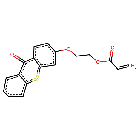 C=CC(=O)OCCOc1ccc2c(=O)c3ccccc3sc2c1